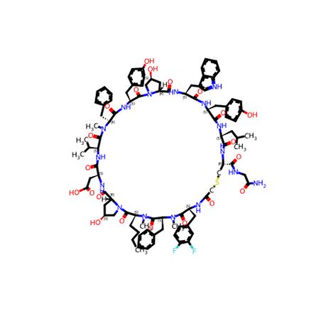 CCCC[C@H]1C(=O)N2C[C@@H](O)C[C@@H]2C(=O)N[C@@H](CC(=O)O)C(=O)N[C@@H](C(C)C)C(=O)N(C)[C@H](Cc2ccccc2)C(=O)N[C@@H](Cc2ccc(O)cc2)C(=O)N2C[C@@H](O)C[C@@H]2C(=O)N[C@@H](Cc2c[nH]c3ccccc23)C(=O)N[C@@H](Cc2ccc(O)cc2)C(=O)N[C@@H](CC(C)C)C(=O)N[C@H](C(=O)NCC(N)=O)CSCC(=O)N[C@@H](Cc2ccc(F)c(F)c2)C(=O)N(C)[C@@H](Cc2ccccc2)C(=O)N1C